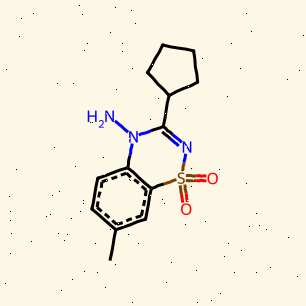 Cc1ccc2c(c1)S(=O)(=O)N=C(C1CCCC1)N2N